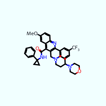 COc1ccc2nc(-c3cccc(C(F)(F)F)c3)c(CN3CCC(N4CCOCC4)CC3)c(C(=O)NC3(c4ccccc4)CC3)c2c1